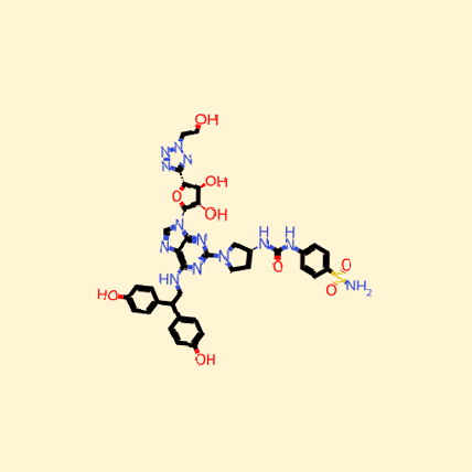 NS(=O)(=O)c1ccc(NC(=O)N[C@@H]2CCN(c3nc(NCC(c4ccc(O)cc4)c4ccc(O)cc4)c4ncn([C@@H]5O[C@H](c6nnn(CCO)n6)[C@@H](O)[C@@H]5O)c4n3)C2)cc1